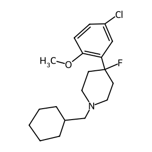 COc1ccc(Cl)cc1C1(F)CCN(CC2CCCCC2)CC1